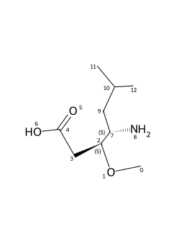 CO[C@@H](CC(=O)O)[C@@H](N)CC(C)C